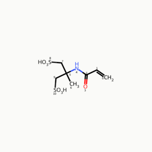 C=CC(=O)NC(C)(CS(=O)(=O)O)CS(=O)(=O)O